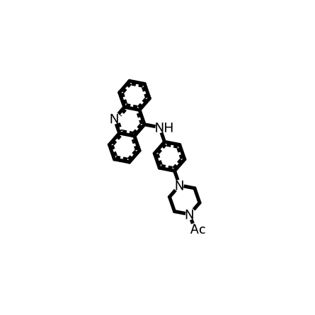 CC(=O)N1CCN(c2ccc(Nc3c4ccccc4nc4ccccc34)cc2)CC1